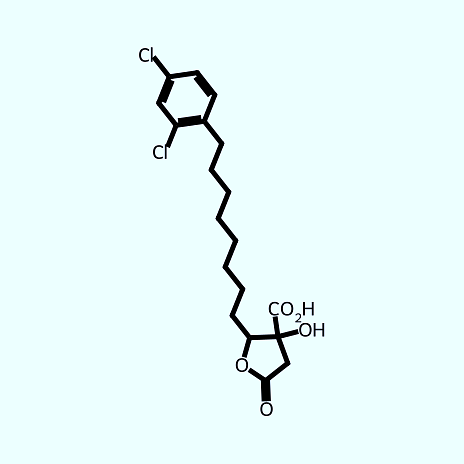 O=C1CC(O)(C(=O)O)C(CCCCCCCCc2ccc(Cl)cc2Cl)O1